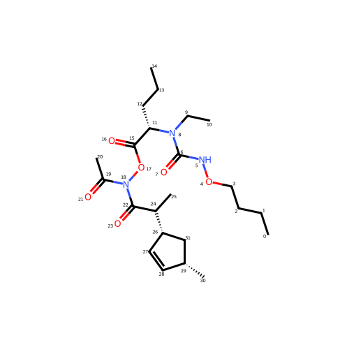 CCCCONC(=O)N(CC)[C@@H](CCC)C(=O)ON(C(C)=O)C(=O)C(C)[C@H]1C=C[C@@H](C)C1